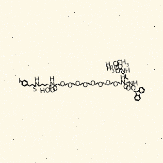 CC(C)(C)OC(=O)NCCCC[C@H](NC(=O)OCC1c2ccccc2-c2ccccc21)C(=O)NCCOCCOCCOCCOCCOCCOCCOCCOCCC(=O)N[C@@H](CCCCNC(=S)CCc1ccc(I)cc1)C(=O)O